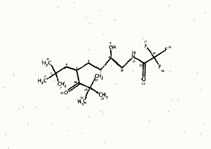 CC(C)(C)CC(CCC(O)CNC(=O)C(F)(F)F)C(=O)C(C)(C)C